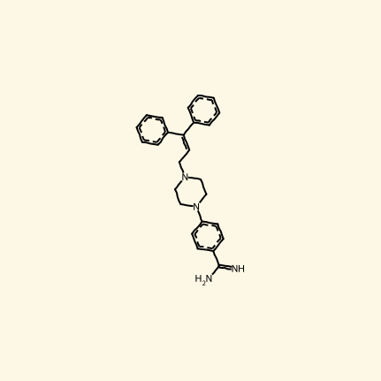 N=C(N)c1ccc(N2CCN(CC=C(c3ccccc3)c3ccccc3)CC2)cc1